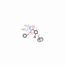 C[C@@H](O)[C@@H](C(=O)O)N(C(=O)OCc1ccccc1)C(=O)c1cc(C2CC2)c(OCC23CC4CC(CC(C4)C2)C3)cc1F